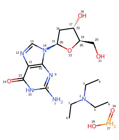 CCN(CC)CC.Nc1nc2c(ncn2[C@H]2C[C@H](O)[C@@H](CO)O2)c(=O)[nH]1.O=[PH2]O